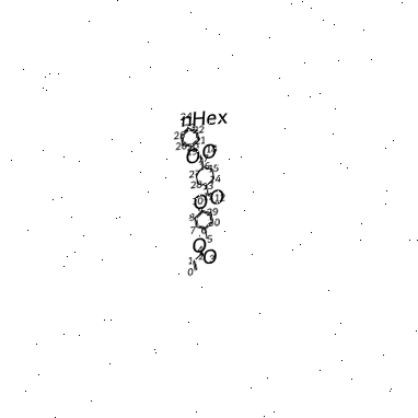 C=CC(=O)OCc1ccc(OC(=O)C2CCC(C(=O)Oc3ccc(CCCCCC)cc3)CC2)cc1